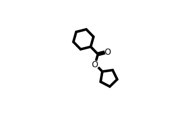 O=C(OC1CCCC1)C1CCCCC1